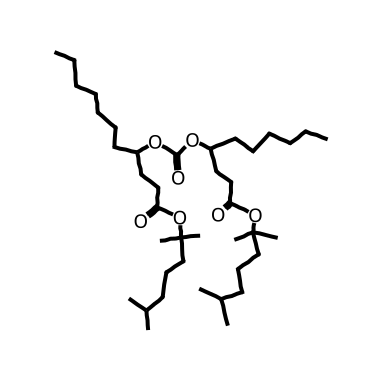 CCCCCCCC(CCC(=O)OC(C)(C)CCCC(C)C)OC(=O)OC(CCCCCC)CCC(=O)OC(C)(C)CCCC(C)C